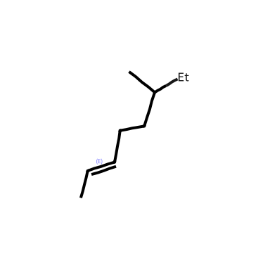 C/C=C/CCC(C)CC